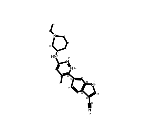 CCN1CCC[C@@H](Nc2cc(C)c(-c3ccc4c(C#N)c[nH]c4c3)nn2)C1